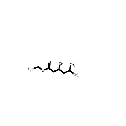 CCOC(=O)C[C@@H](O)CC(C)C